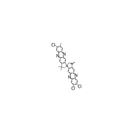 Cc1cc2nc3cc4c(cc3nc2cc1Cl)C(C)(C)C[C@@]41C[C@@H](C)c2cc3nc4cc(Cl)c(Cl)cc4nc3cc21